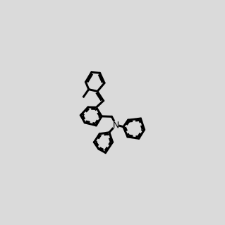 CC1C=CC=C/C1=C/c1ccccc1CN(c1ccccc1)c1ccccc1